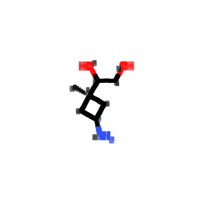 C[C@]1(C(O)CO)C[C@@H](N)C1